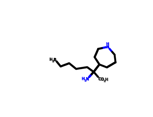 BCCCCC(N)(C(=O)O)C1CCCNCC1